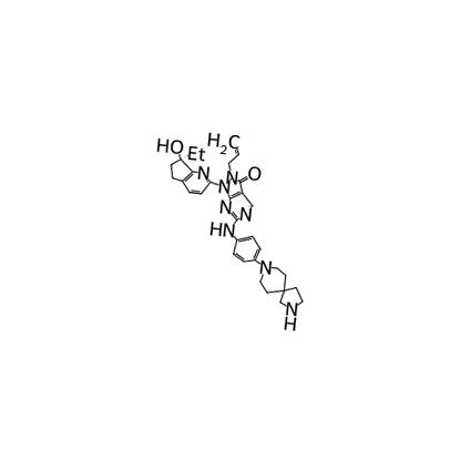 C=CCn1c(=O)c2cnc(Nc3ccc(N4CCC5(CCNC5)CC4)cc3)nc2n1-c1ccc2c(n1)[C@@](O)(CC)CC2